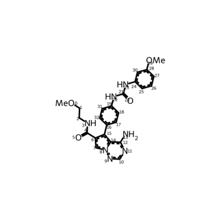 COCCNC(=O)c1cn2ncnc(N)c2c1-c1ccc(NC(=O)Nc2cccc(OC)c2)cc1